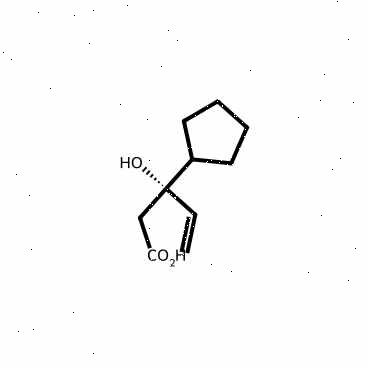 C=C[C@@](O)(CC(=O)O)C1CCCC1